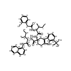 CCC(C)[C@H](NC(=O)Cc1ccccc1F)C(=O)N[C@]1(C(=O)N[C@H](C(=O)Nc2cccc3ccncc23)C(C)CC)CCc2[nH]c3c(C(F)(F)F)cccc3c2C1